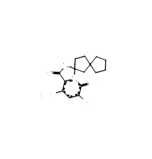 Cc1cc(Br)c(=O)n2c1C(=O)NC21CCC2(CCCC2)C1